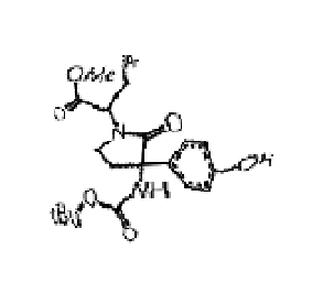 COC(=O)C(CC(C)C)N1CCC(NC(=O)OC(C)(C)C)(c2ccc(O)cc2)C1=O